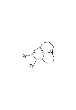 CC(C)c1cc2c3c(c1C(C)C)CCCN3CCC2